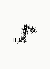 Cc1ccc(-c2nnc3ccc(SCC(N)=O)nn23)s1